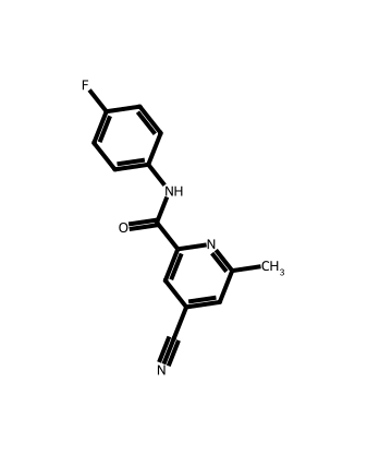 Cc1cc(C#N)cc(C(=O)Nc2ccc(F)cc2)n1